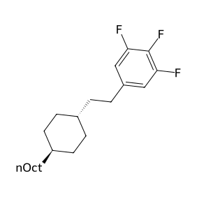 CCCCCCCC[C@H]1CC[C@H](CCc2cc(F)c(F)c(F)c2)CC1